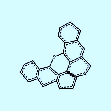 c1ccc2c(Sc3c4ccccc4cc4ccccc34)c3ccccc3cc2c1